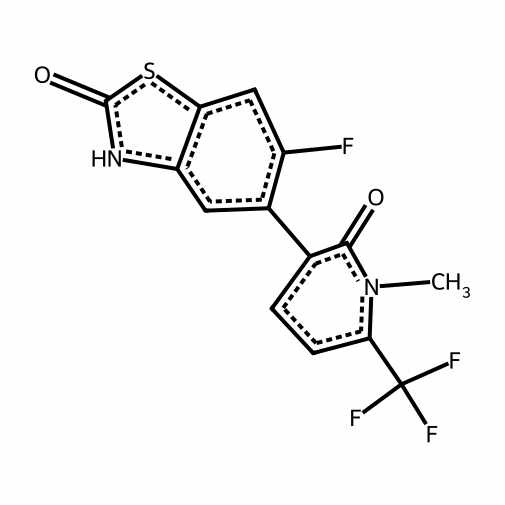 Cn1c(C(F)(F)F)ccc(-c2cc3[nH]c(=O)sc3cc2F)c1=O